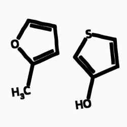 Cc1ccco1.Oc1ccsc1